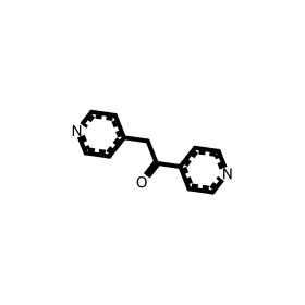 O=C(Cc1ccncc1)c1ccncc1